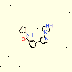 O=C(NC1CCCC1)c1cccc(-c2ccnc(N3CCNCC3)c2)c1